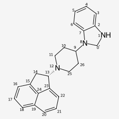 [CH]1Nc2ccccc2N1C1CCN([C@H]2Cc3cccc4cccc2c34)CC1